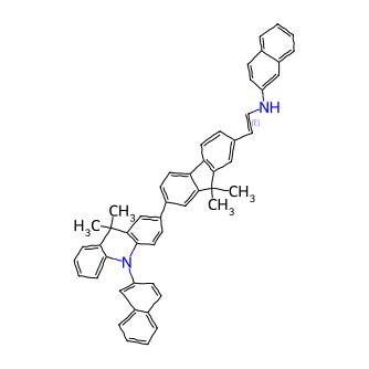 CC1(C)c2cc(/C=C/Nc3ccc4ccccc4c3)ccc2-c2ccc(-c3ccc4c(c3)C(C)(C)c3ccccc3N4c3ccc4ccccc4c3)cc21